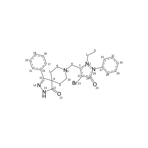 CCn1c(CN2CCC3(CC2)C(=O)NN=C3c2ccccc2)c(Br)c(=O)n1-c1ccccc1